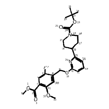 COC(=O)c1cc(F)c(COc2cccc(C3CCN(C(=O)OC(C)(C)C)CC3)n2)cc1OC